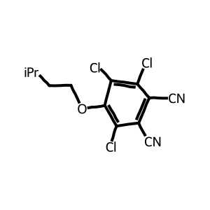 CC(C)CCOc1c(Cl)c(Cl)c(C#N)c(C#N)c1Cl